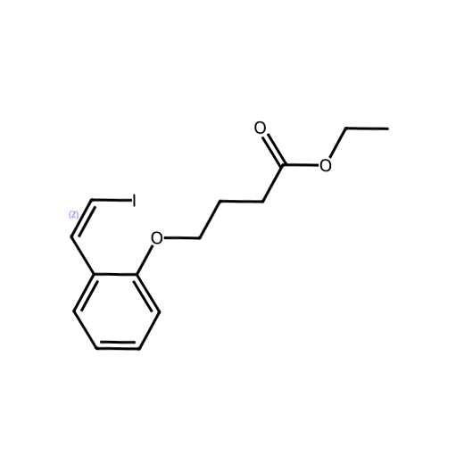 CCOC(=O)CCCOc1ccccc1/C=C\I